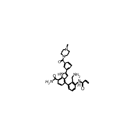 C=CC(=O)Nc1cccc(-c2ccc(C(N)=O)c3[nH]c(-c4cccc(C(=O)N5CCN(C)CC5)c4)cc23)c1CN